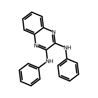 c1ccc(Nc2nc3ccccc3nc2Nc2ccccc2)cc1